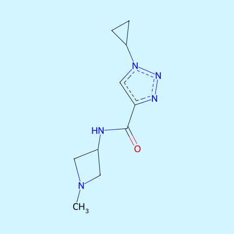 CN1CC(NC(=O)c2cn(C3CC3)nn2)C1